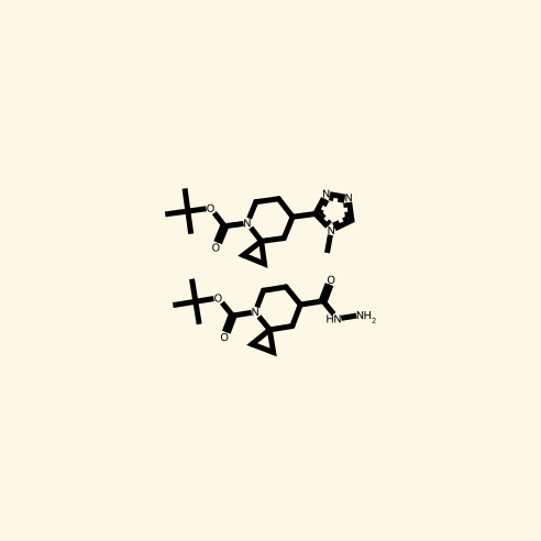 CC(C)(C)OC(=O)N1CCC(C(=O)NN)CC12CC2.Cn1cnnc1C1CCN(C(=O)OC(C)(C)C)C2(CC2)C1